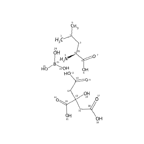 CC(C)C[C@H](N)C(=O)O.O=C(O)CC(O)(CC(=O)O)C(=O)O.OB(O)O